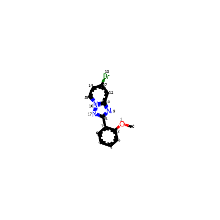 COc1ccccc1-c1nc2cc(Br)ccn2n1